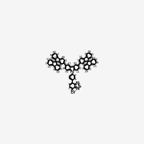 Brc1ccc(-c2ccc(-n3c4ccc(-c5ccc6c(c5)C5(c7ccccc7-c7ccccc75)c5ccccc5-6)cc4c4cc(-c5ccc6c(c5)C5(c7ccccc7-c7ccccc75)c5ccccc5-6)ccc43)cc2)c2nsnc12